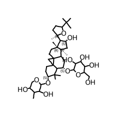 CC1C(O)COC(O[C@H]2CCC34CC35CC[C@]3(C)C([C@@]6(C)CCC(C(C)(C)C)O6)[C@@H](O)C[C@@]3(C)C5C[C@H](OC3OC(CO)C(O)C(O)C3O)C4C2(C)C)C1O